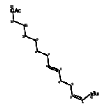 CCCC/C=C\CC/C=C/CCCCCCOC(C)=O